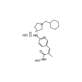 CC(=Cc1ccc(N[C@@H]2CCN(CC3CCCCC3)C2)nc1)C(=O)NO.Cl.Cl